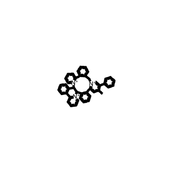 Cc1cc2[n+](cc1-c1ccccc1)Cc1ccccc1-c1cccc[n+]1C1c3ccccc3-c3cccc[n+]3C1c1ccccc1-2